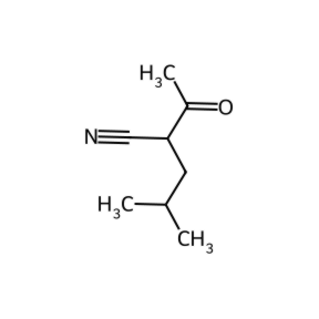 CC(=O)C(C#N)CC(C)C